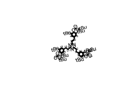 CC(C)(C)OC(=O)Oc1c(C(C)(C)C)cc(CCc2nc(CCc3cc(C(C)(C)C)c(OC(=O)OC(C)(C)C)c(C(C)(C)C)c3)nc(CCc3cc(C(C)(C)C)c(OC(=O)OC(C)(C)C)c(C(C)(C)C)c3)n2)cc1C(C)(C)C